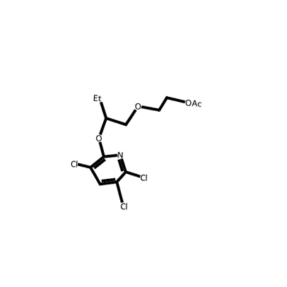 CCC(COCCOC(C)=O)Oc1nc(Cl)c(Cl)cc1Cl